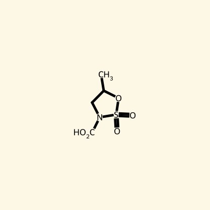 CC1CN(C(=O)O)S(=O)(=O)O1